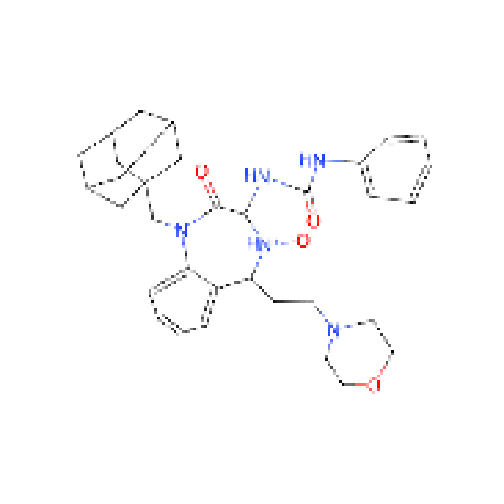 O=C(Nc1ccccc1)NC1C(=O)N(CC23CC4CC(CC(C4)C2)C3)c2ccccc2C(CCN2CCOCC2)[NH+]1[O-]